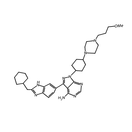 COCCCN1CCN(C2CCC(n3nc(-c4ccc5nc(CC6CCCCC6)[nH]c5c4)c4c(N)ncnc43)CC2)CC1